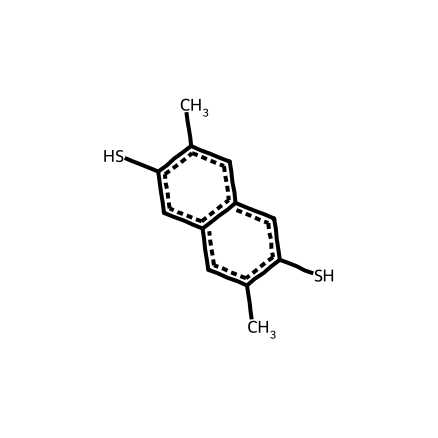 Cc1cc2cc(S)c(C)cc2cc1S